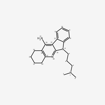 CN(C)CCCn1c2ccccc2c2c(N)c3c(nc21)CCCC3